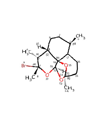 C[C@@H]1CC[C@H]2[C@@H](C)[C@@](C)(Br)O[C@@H]3O[C@]4(C)CCC1[C@]32O4